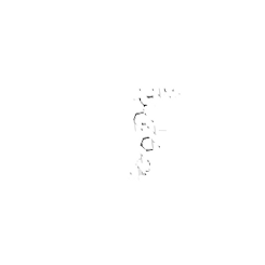 CNc1nc(C)c(-c2ccnc(Nc3ccc(N4CCN(C(C)=O)CC4)cn3)n2)s1